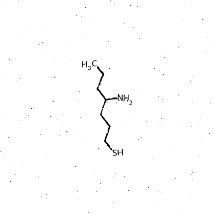 CCCC(N)CCCS